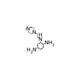 C[N+]1(C)CCN(CCNc2cc(N)ccc2N)CC1